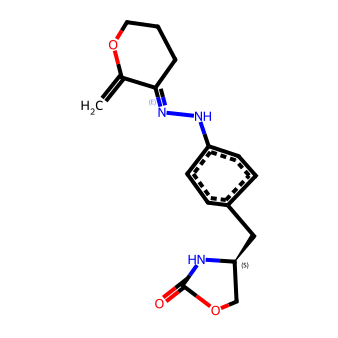 C=C1OCCC/C1=N\Nc1ccc(C[C@H]2COC(=O)N2)cc1